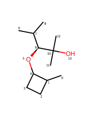 CC1CCC1O[C@@H](C(C)C)C(C)(C)O